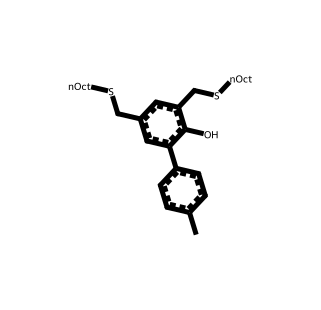 CCCCCCCCSCc1cc(CSCCCCCCCC)c(O)c(-c2ccc(C)cc2)c1